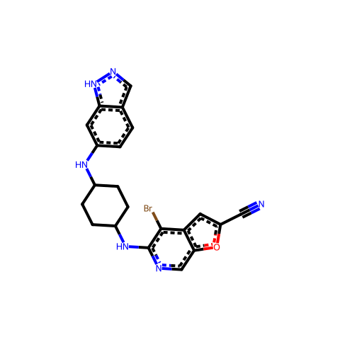 N#Cc1cc2c(Br)c(NC3CCC(Nc4ccc5cn[nH]c5c4)CC3)ncc2o1